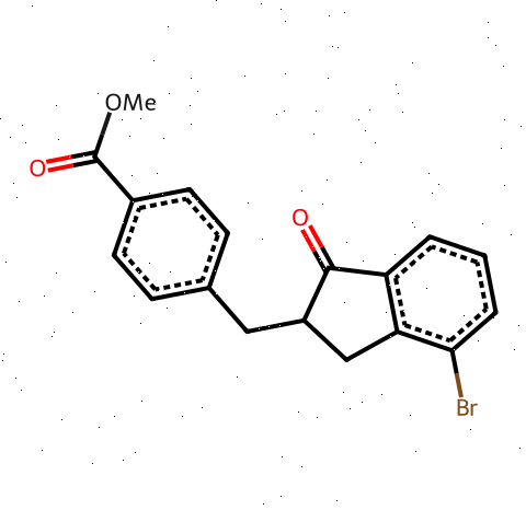 COC(=O)c1ccc(CC2Cc3c(Br)cccc3C2=O)cc1